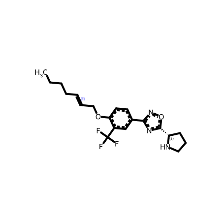 CCCC/C=C/COc1ccc(-c2noc([C@@H]3CCCN3)n2)cc1C(F)(F)F